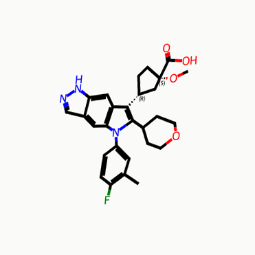 CO[C@@]1(C(=O)O)CC[C@@H](c2c(C3CCOCC3)n(-c3ccc(F)c(C)c3)c3cc4cn[nH]c4cc23)C1